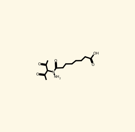 CC(=O)C(C(C)=O)N(N)C(=O)CCCCCCC(=O)O